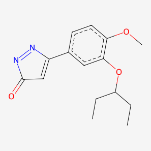 CCC(CC)Oc1cc(C2=CC(=O)N=N2)ccc1OC